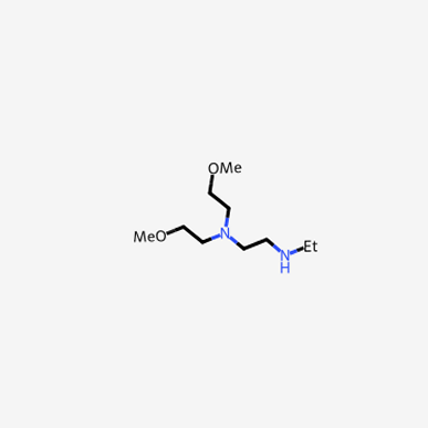 CCNCCN(CCOC)CCOC